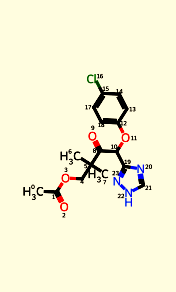 CC(=O)OCC(C)(C)C(=O)C(Oc1ccc(Cl)cc1)c1nc[nH]n1